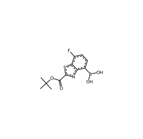 CC(C)(C)OC(=O)c1nc2c(B(O)O)ccc(F)c2s1